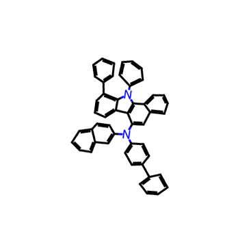 c1ccc(-c2ccc(N(c3ccc4ccccc4c3)c3cc4ccccc4c4c3c3cccc(-c5ccccc5)c3n4-c3ccccc3)cc2)cc1